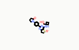 O=C1CCCN1c1ccc(-c2nc3c(c(NC4(CO)CCC4)n2)[S@+]([O-])CC3)cc1